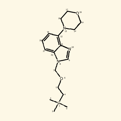 C[Si](C)(C)CCOCn1cnc2c(N3CCOCC3)cccc21